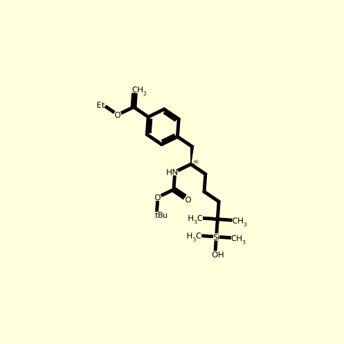 C=C(OCC)c1ccc(C[C@@H](CCCC(C)(C)[Si](C)(C)O)NC(=O)OC(C)(C)C)cc1